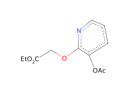 CCOC(=O)COc1ncccc1OC(C)=O